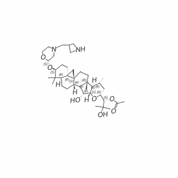 CC(=O)O[C@@H]([C@H]1C[C@@H](C)[C@H]2[C@H](O1)[C@H](O)[C@@]1(C)[C@@H]3CC[C@H]4C(C)(C)[C@@H](O[C@H]5CN(CC6CNC6)CCO5)CC[C@@]45C[C@@]35CC[C@]21C)C(C)(C)O